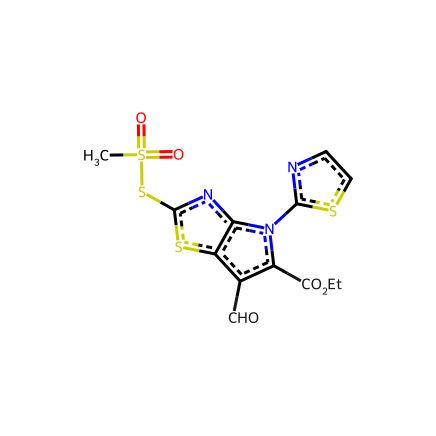 CCOC(=O)c1c(C=O)c2sc(SS(C)(=O)=O)nc2n1-c1nccs1